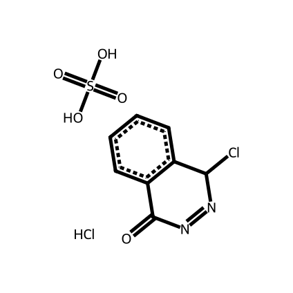 Cl.O=C1N=NC(Cl)c2ccccc21.O=S(=O)(O)O